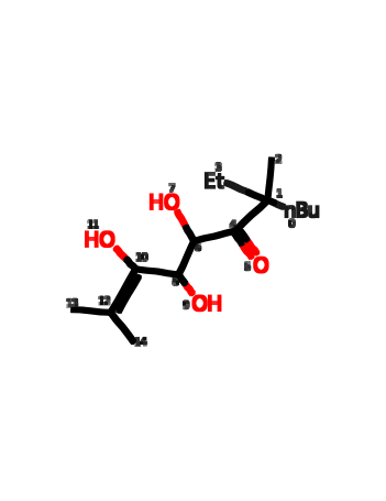 CCCCC(C)(CC)C(=O)C(O)C(O)C(O)=C(C)C